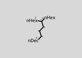 [CH2]CCCCCC(CCCCCC)CCCCCCCCCCCCC